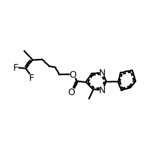 CC(CCCCOC(=O)c1cnc(-c2ccccc2)nc1C)=C(F)F